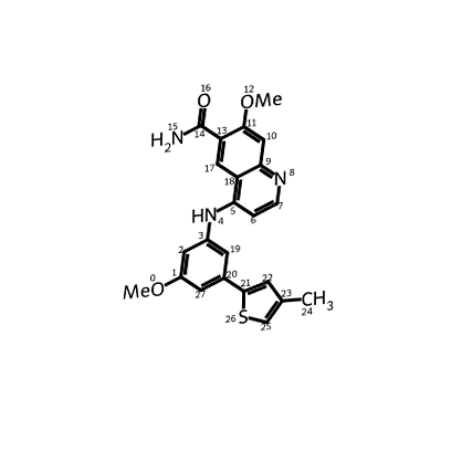 COc1cc(Nc2ccnc3cc(OC)c(C(N)=O)cc23)cc(-c2cc(C)cs2)c1